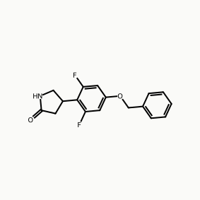 O=C1CC(c2c(F)cc(OCc3ccccc3)cc2F)CN1